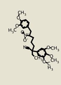 CCC(C#N)(CCCC(Cc1ccc(OC)c(OC)c1)[N+](=O)[O-])c1cc(OC)c(OC)c(OC)c1